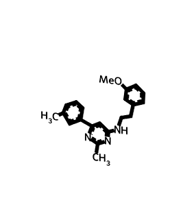 COc1cccc(CCNc2cc(-c3cccc(C)c3)nc(C)n2)c1